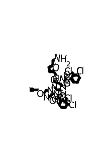 C#CCOc1cnc(NS(=O)(=O)c2cccc(Cl)c2Cl)c(OC)n1.NCc1ccc(COc2nccnc2NS(=O)(=O)c2cccc(Cl)c2Cl)o1